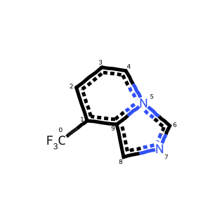 FC(F)(F)c1cccn2cncc12